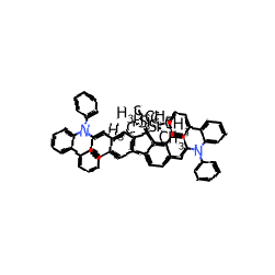 C[Si](C)(C)C1([Si](C)(C)C)c2cc3cc(N(c4ccccc4)c4ccccc4-c4ccccc4)ccc3cc2-c2ccc3cc(N(c4ccccc4)c4ccccc4-c4ccccc4)ccc3c21